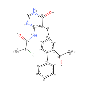 CCCCC(Cl)C(=O)Nc1nc[nH]c(=O)c1Cc1ccc(-c2ccccc2)c(C(=O)OC)c1